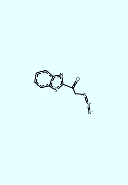 [N-]=[N+]=NCC(=O)c1nc2ccccc2s1